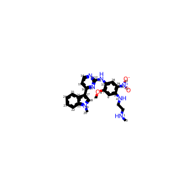 CNCCNc1cc(OC)c(Nc2nccc(-c3cn(C)c4ccccc34)n2)cc1[N+](=O)[O-]